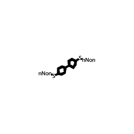 CCCCCCCCCSc1ccc(-c2ccc(SCCCCCCCCC)cc2)cc1